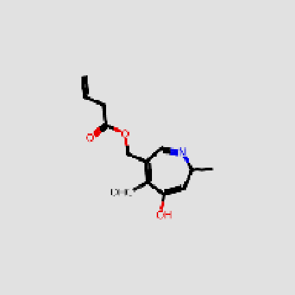 C=CCC(=O)OCC1=C(C=O)C(O)=CC(C)N=C1